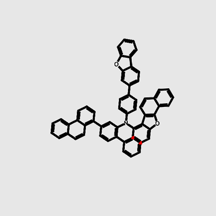 c1ccc(-c2ccc(-c3cccc4c3ccc3ccccc34)cc2N(c2ccc(-c3ccc4c(c3)oc3ccccc34)cc2)c2cccc3oc4c5ccccc5ccc4c23)cc1